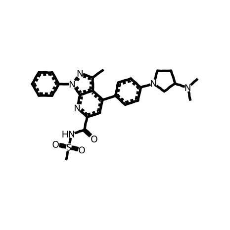 Cc1nn(-c2ccccc2)c2nc(C(=O)NS(C)(=O)=O)cc(-c3ccc(N4CCC(N(C)C)C4)cc3)c12